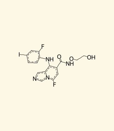 O=C(NOCCO)c1cc(F)n2cncc2c1Nc1ccc(I)cc1F